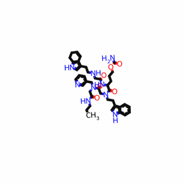 CCCNC(=O)CN(Cc1cccnc1)C(=O)CN(CCc1c[nH]c2ccccc12)C(=O)C(CCCOC(N)=O)NC(=O)CNCCc1c[nH]c2c1C=CCC2